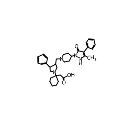 Cc1[nH]n(C2CCN(CC3CN(C4(CC(=O)O)CCCCC4)CC3c3ccccc3)CC2)c(=O)c1-c1ccccc1